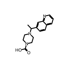 CC(c1ccc2cccnc2c1)N1CCN(C(=O)O)CC1